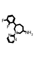 NC1CCC(c2cccc(F)c2F)CN(c2ncccn2)C1